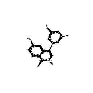 Cn1cc(-c2cc(F)cc(F)c2)c2cc(O)ccc2c1=O